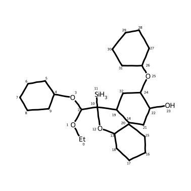 CCOC(OC1CCCCC1)C([SiH3])(OC1CCCCC1)C1CCC(O)C(OC2CCCCC2)C1